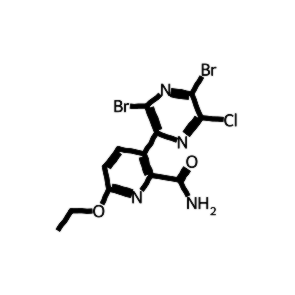 CCOc1ccc(-c2nc(Cl)c(Br)nc2Br)c(C(N)=O)n1